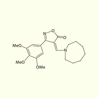 COc1cc(C2=NOC(=O)C2=CN2CCCCCCC2)cc(OC)c1OC